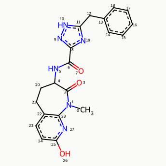 CN1C(=O)C(NC(=O)c2n[nH]c(Cc3ccccc3)n2)CCc2ccc(O)nc21